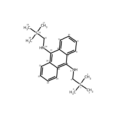 CS(C)(C)CNc1c2ccccc2c(NCS(C)(C)C)c2ccccc12